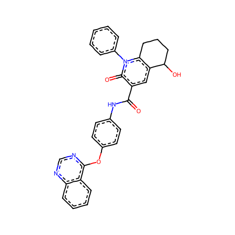 O=C(Nc1ccc(Oc2ncnc3ccccc23)cc1)c1cc2c(n(-c3ccccc3)c1=O)CCCC2O